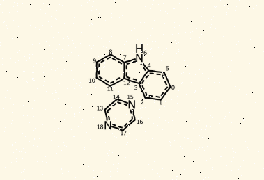 c1ccc2c(c1)[nH]c1ccccc12.c1cnccn1